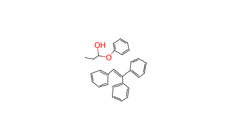 C(=C(c1ccccc1)c1ccccc1)c1ccccc1.CCC(O)Oc1ccccc1